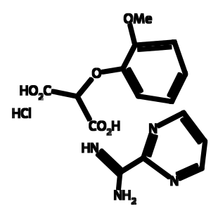 COc1ccccc1OC(C(=O)O)C(=O)O.Cl.N=C(N)c1ncccn1